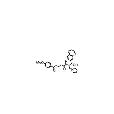 COc1ccc(C(=O)CCCC(=O)NC(CN2CCCC2)C(O)c2ccc3c(c2)OCCO3)cc1